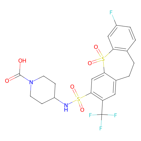 O=C(O)N1CCC(NS(=O)(=O)c2cc3c(cc2C(F)(F)F)CCc2ccc(F)cc2S3(=O)=O)CC1